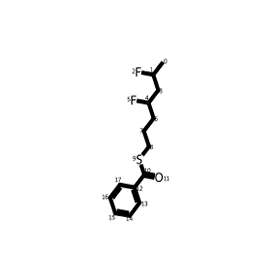 CC(F)CC(F)CCCSC(=O)c1ccccc1